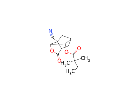 CCC(C)(C)C(=O)OC1C2CC3C(=O)OC1C3(C#N)C2